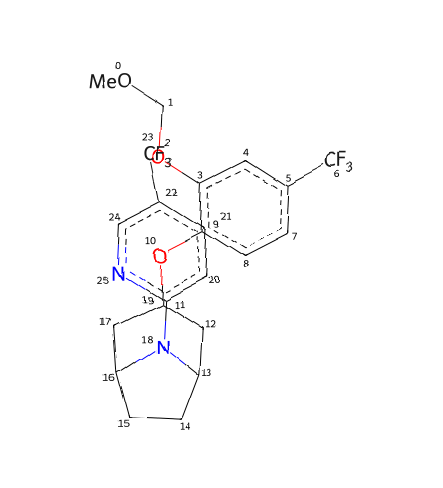 COCOc1cc(C(F)(F)F)ccc1OC1CC2CCC(C1)N2c1ccc(C(F)(F)F)cn1